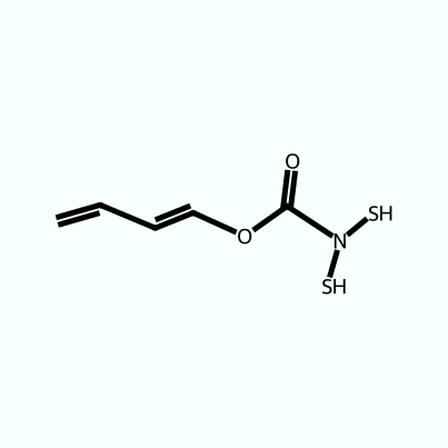 C=CC=COC(=O)N(S)S